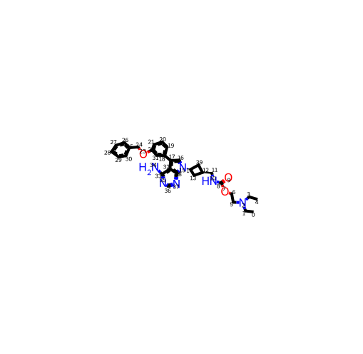 CCN(CC)CCOC(=O)NC[C@H]1C[C@H](n2cc(-c3cccc(OCc4ccccc4)c3)c3c(N)ncnc32)C1